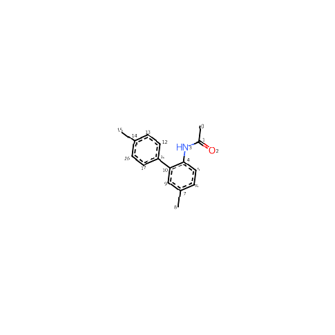 CC(=O)Nc1ccc(C)cc1-c1ccc(C)cc1